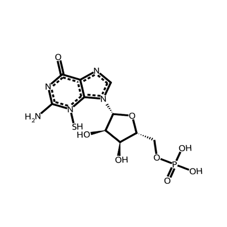 Nc1nc(=O)c2ncn([C@@H]3O[C@H](COP(=O)(O)O)[C@@H](O)[C@H]3O)c2n1S